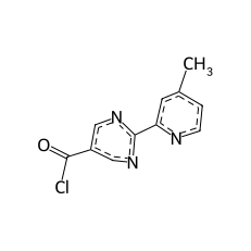 Cc1ccnc(-c2ncc(C(=O)Cl)cn2)c1